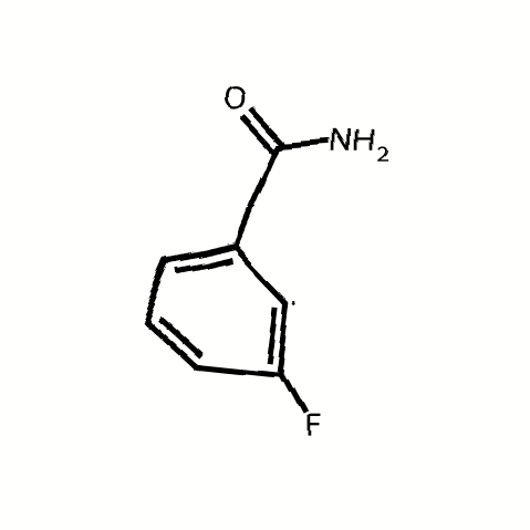 NC(=O)c1[c]c(F)ccc1